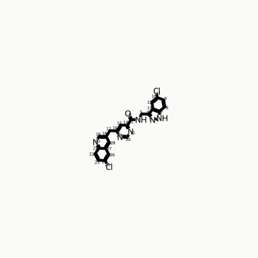 O=C(NCc1n[nH]c2ccc(Cl)cc12)c1cc(Cc2cnc3ccc(Cl)cc3c2)ncn1